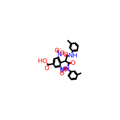 Cc1cccc(NC(=O)C(C(=O)Nc2cccc(C)c2)c2c([N+](=O)[O-])cc(C(=O)O)cc2[N+](=O)[O-])c1